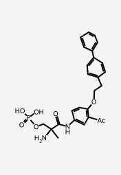 CC(=O)c1cc(NC(=O)C(C)(N)COP(=O)(O)O)ccc1OCCc1ccc(-c2ccccc2)cc1